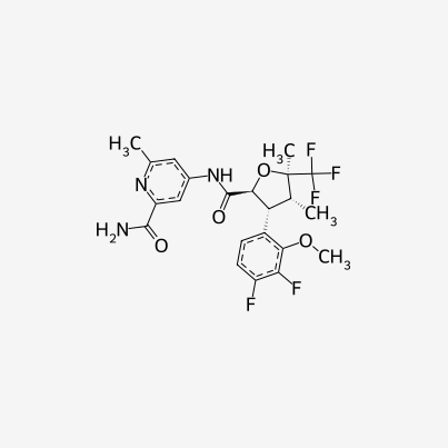 COc1c([C@@H]2[C@@H](C(=O)Nc3cc(C)nc(C(N)=O)c3)O[C@@](C)(C(F)(F)F)[C@@H]2C)ccc(F)c1F